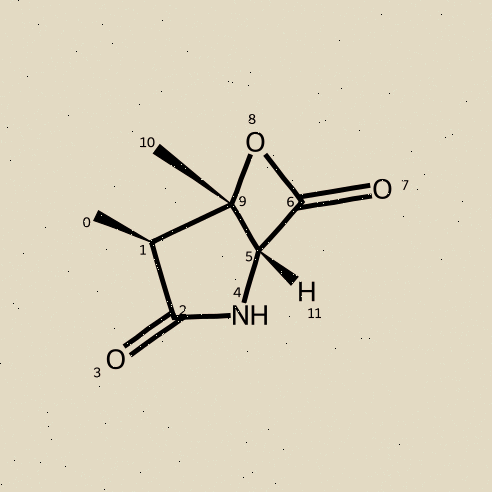 C[C@@H]1C(=O)N[C@H]2C(=O)O[C@@]12C